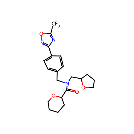 O=C(C1CCCCO1)N(Cc1ccc(-c2noc(C(F)(F)F)n2)cc1)CC1CCCO1